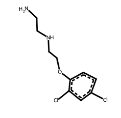 NCCNCCOc1ccc(Cl)cc1Cl